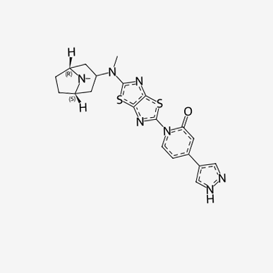 CN(c1nc2sc(-n3ccc(-c4cn[nH]c4)cc3=O)nc2s1)C1C[C@H]2CC[C@@H](C1)N2C